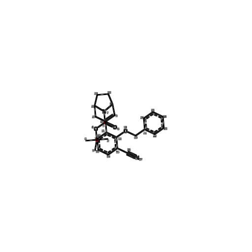 CC(C)(C)OC(=O)N1C2C=C(c3cccc(C#N)c3OCc3ccccc3)CC1CC2